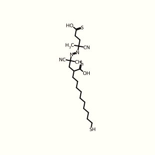 CC(C#N)(CCC(O)=S)N=NC(C)(C#N)CC(CCCCCCCCCCS)C(O)=S